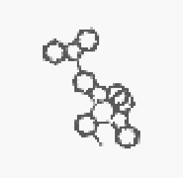 Brc1cccc(-n2c3ccccc3c3cc(-n4c5ccccc5c5ccccc54)ccc32)c1-n1c2ccccc2c2ccccc21